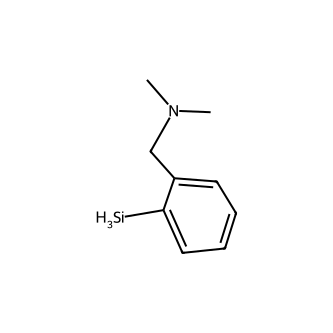 CN(C)Cc1ccccc1[SiH3]